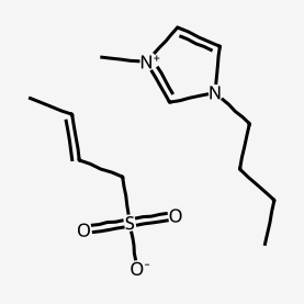 CC=CCS(=O)(=O)[O-].CCCCn1cc[n+](C)c1